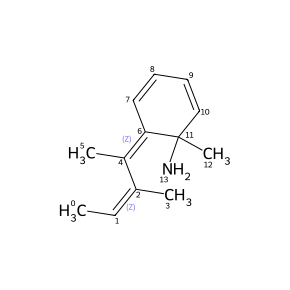 C/C=C(C)\C(C)=C1\C=CC=CC1(C)N